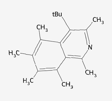 Cc1nc(C)c2c(C)c(C)c(C)c(C)c2c1C(C)(C)C